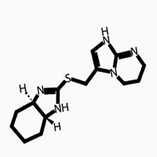 C1=C(CSC2=N[C@@H]3CCCC[C@H]3N2)N2CCCN=C2N1